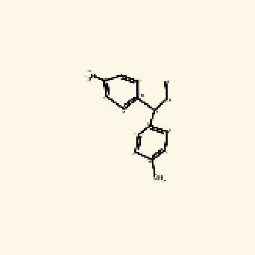 CCC(c1ccc(N)cc1)c1ccc(N)cc1